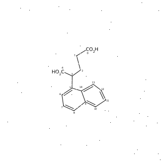 O=C(O)CCC(C(=O)O)c1cccc2ccccc12